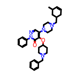 CC1C=CCC(CN2CCN(c3cnn(-c4ccccc4)c(=O)c3OC3CCN(Cc4ccccc4)CC3)CC2)C1